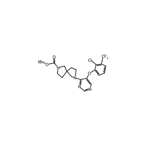 CC(C)(C)OC(=O)N1CCC2(CCN(c3ncncc3Oc3cccc(C(F)(F)F)c3Cl)C2)C1